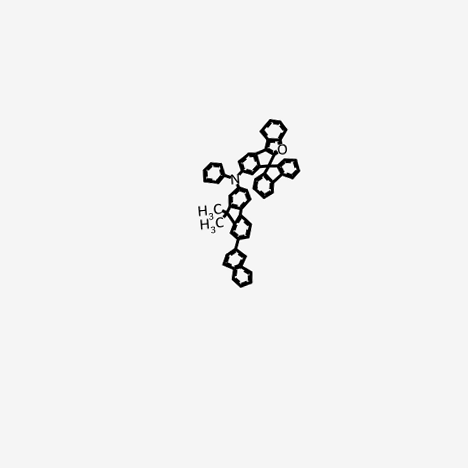 CC1(C)c2cc(-c3ccc4ccccc4c3)ccc2-c2ccc(N(c3ccccc3)c3ccc4c(c3)C3(c5ccccc5-c5ccccc53)c3oc5ccccc5c3-4)cc21